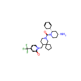 N[C@@H]1CCN(C(=O)N2CCC(Cn3ccc(C(F)(F)F)cc3=O)C3(CCCC3)C2)[C@H](C2C=CC=CC2)C1